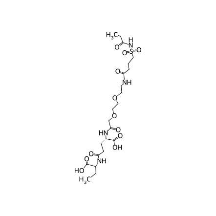 CCC(=O)NS(=O)(=O)CCCC(=O)NCCOCCOCC(=O)N[C@@H](CCC(=O)NC(CC)C(=O)O)C(=O)O